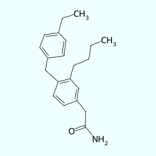 CCCCc1cc(CC(N)=O)ccc1Cc1ccc(CC)cc1